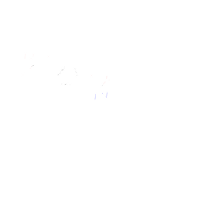 CCCCCCCNC(=O)COc1ccc(CC(OC)C(=O)O)cc1